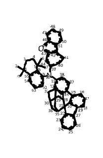 CC1(C)CCC(C)(C)c2c(N(c3ccc(-c4cccc5c4C4(c6ccccc6-5)C5CC6CC(C5)CC4C6)cc3)c3ccc4c(c3)oc3ccccc34)cccc21